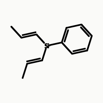 CC=C[Si](C=CC)c1ccccc1